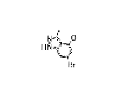 COc1cc(Br)cc2[nH]nc(C)c12